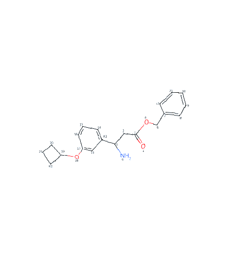 NC(CC(=O)OCc1ccccc1)c1cccc(OC2CCC2)c1